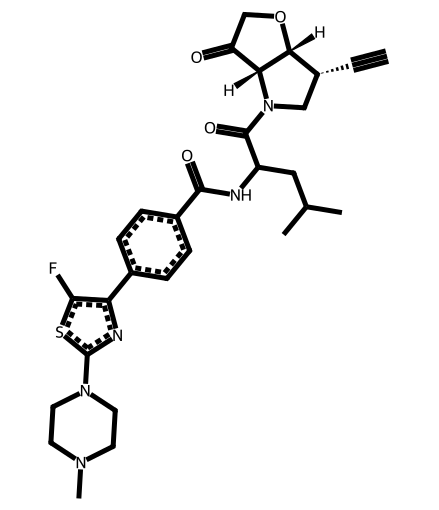 C#C[C@@H]1CN(C(=O)C(CC(C)C)NC(=O)c2ccc(-c3nc(N4CCN(C)CC4)sc3F)cc2)[C@@H]2C(=O)CO[C@H]12